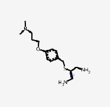 CN(C)CCCOc1ccc(CS/C(=C\N)CN)cc1